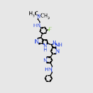 CN(C)CCNc1cc(F)cc(-c2cncc3[nH]c(-c4n[nH]c5ncc(-c6cncc(CNCc7ccccc7)c6)cc45)cc23)c1